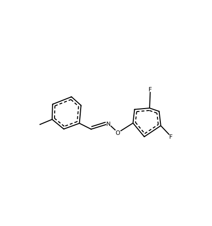 Cc1cccc(/C=N/Oc2cc(F)cc(F)c2)c1